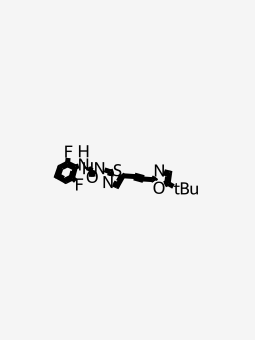 CC(C)(C)c1cnc(C#Cc2cnc(NC(=O)Nc3c(F)cccc3F)s2)o1